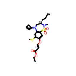 CCCC[C@@H]1CN(C23CC(C2)C3)c2cc(SC)c(O/C=C/C(=O)OCC)cc2S(=O)(=O)N1C